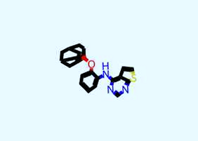 c1ccc(OC2C3CC4CC(C3)CC2C4)c(Nc2ncnc3sccc23)c1